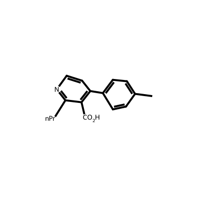 CCCc1nccc(-c2ccc(C)cc2)c1C(=O)O